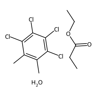 CCOC(=O)CC.Cc1c(C)c(Cl)c(Cl)c(Cl)c1Cl.O